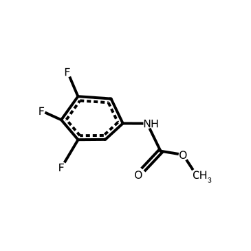 COC(=O)Nc1cc(F)c(F)c(F)c1